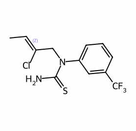 C/C=C(\Cl)CN(C(N)=S)c1cccc(C(F)(F)F)c1